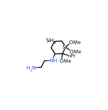 CCCC1(OC)C(NCCN)CCC[Si]1(OC)OC.[SiH4]